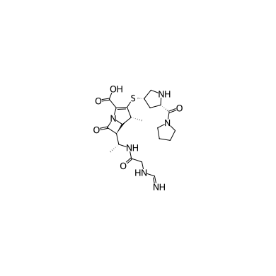 C[C@H]1C(S[C@@H]2CN[C@H](C(=O)N3CCCC3)C2)=C(C(=O)O)N2C(=O)[C@H]([C@@H](C)NC(=O)CNC=N)C12